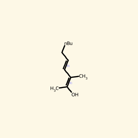 CCCCC/C=C/C(C)=C(\C)O